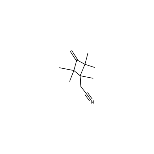 C=C1C(C)(C)C(C)(CC#N)C1(C)C